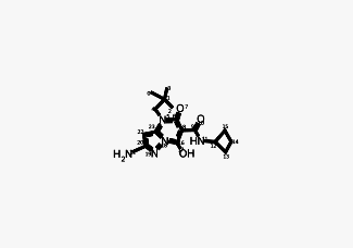 CC(C)(C)Cn1c(=O)c(C(=O)NC2CCC2)c(O)n2nc(N)cc12